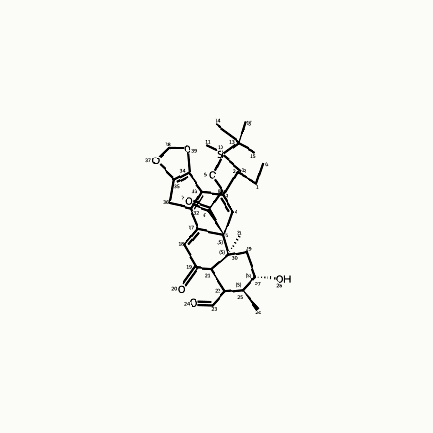 CCCC1=C[C@@]2(C(=O)CO[Si](C)(C)C(C)(C)C)C(=CC(=O)C3C(C=O)[C@H](C)[C@@H](O)C[C@@]32C)C2=C1C1=C(C2)OCO1